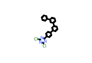 Clc1nc(Cl)nc(-c2ccc(-c3cccc(-c4cccc(-c5ccccc5)c4)c3)cc2)n1